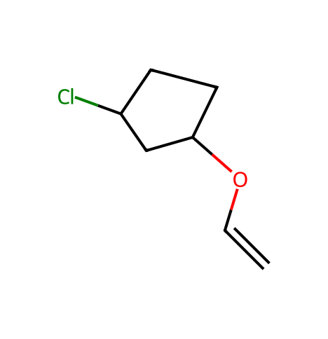 C=COC1CCC(Cl)C1